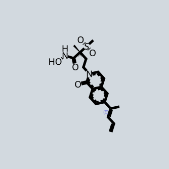 C=C/C=C(\C)c1ccc2c(=O)n(CC[C@](C)(C(=O)NO)S(C)(=O)=O)ccc2c1